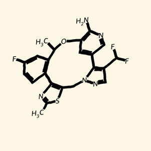 Cc1nc2c(s1)Cn1ncc(C(F)F)c1-c1cnc(N)c(c1)OC(C)c1cc(F)ccc1-2